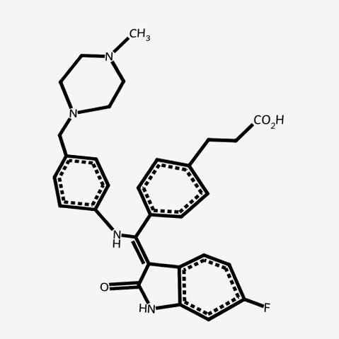 CN1CCN(Cc2ccc(N/C(=C3\C(=O)Nc4cc(F)ccc43)c3ccc(CCC(=O)O)cc3)cc2)CC1